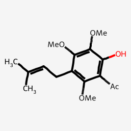 COc1c(O)c(C(C)=O)c(OC)c(CC=C(C)C)c1OC